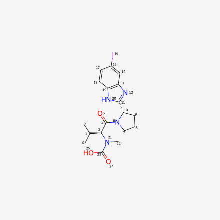 CC(C)[C@@H](C(=O)N1CCC[C@H]1c1nc2cc(I)ccc2[nH]1)N(C)C(=O)O